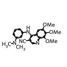 COc1cc2c(Nc3cccc(N(C)C)c3)c(C#N)cnc2c(OC)c1OC